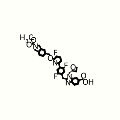 COC(=O)N1Cc2ccc(COc3nc(-c4cc(F)c(Cc5nc6ccc(C(=O)O)cc6n5C[C@@H]5CCO5)cc4F)ccc3F)cc2C1